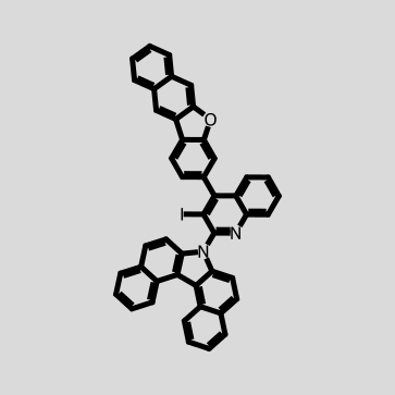 Ic1c(-n2c3ccc4ccccc4c3c3c4ccccc4ccc32)nc2ccccc2c1-c1ccc2c(c1)oc1cc3ccccc3cc12